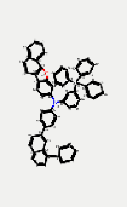 c1ccc(-c2cccc3ccc(-c4ccc(N(c5cccc([Si](c6ccccc6)(c6ccccc6)c6ccccc6)c5)c5ccc6c(c5)oc5c7ccccc7ccc65)cc4)cc23)cc1